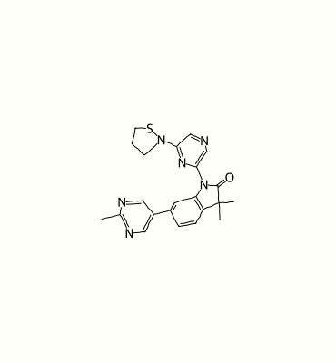 Cc1ncc(-c2ccc3c(c2)N(c2cncc(N4CCCS4)n2)C(=O)C3(C)C)cn1